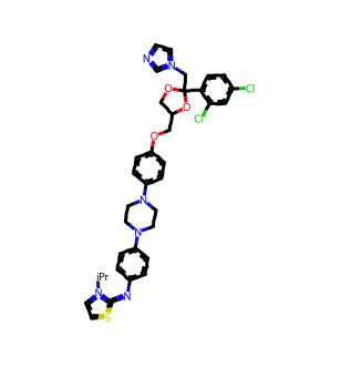 CC(C)n1ccsc1=Nc1ccc(N2CCN(c3ccc(OCC4COC(Cn5ccnc5)(c5ccc(Cl)cc5Cl)O4)cc3)CC2)cc1